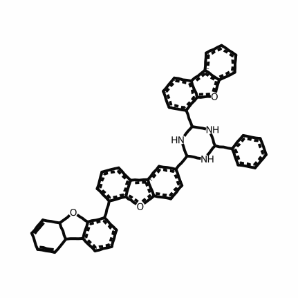 C1=CC2Oc3c(-c4cccc5c4oc4ccc(C6NC(c7ccccc7)NC(c7cccc8c7oc7ccccc78)N6)cc45)cccc3C2C=C1